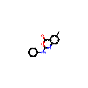 Cc1ccc2nc(Nc3ccccc3)oc(=O)c2c1